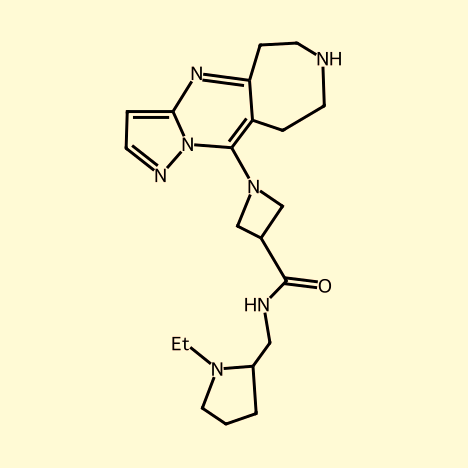 CCN1CCCC1CNC(=O)C1CN(c2c3c(nc4ccnn24)CCNCC3)C1